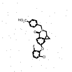 O=C(O)c1ccc(CN(CC2CC2)C(=O)c2ccc(Oc3c(F)cccc3Cl)cc2)cc1